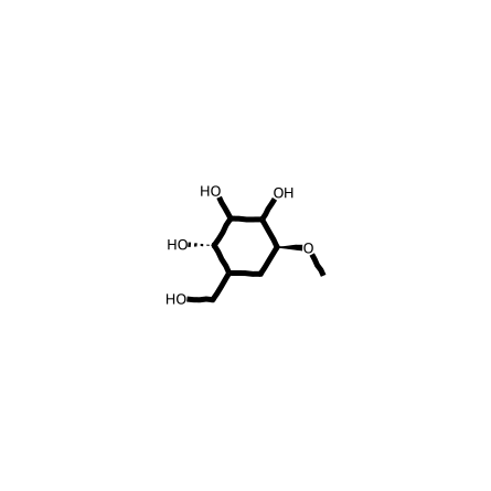 CO[C@H]1CC(CO)[C@H](O)C(O)C1O